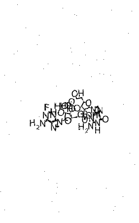 Nc1nc2c(ncn2[C@@H]2O[C@H](CCO)[C@@H](O)[C@H]2P(=O)(O)OC[C@H]2O[C@@H](n3cnc4c(N)nc(F)nc43)[C@H](O)[C@@H]2O[PH](=O)O)c(=O)[nH]1